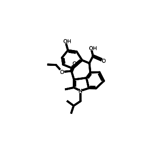 CCOC(=O)c1c(C)n(CC(C)C)c2cccc(C(C(=O)O)c3cccc(O)c3)c12